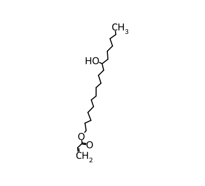 C=CC(=O)OCCCCCCCCCCCC(O)CCCCCC